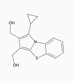 OCc1c(CO)c2sc3ccccc3n2c1C1CC1